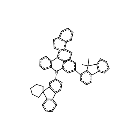 CC1(C)c2ccccc2-c2cccc(-c3cccc(N(c4ccc5c(c4)C4(CCCCC4)c4ccccc4-5)c4ccccc4-c4cccc5c4ccc4ccccc45)c3)c21